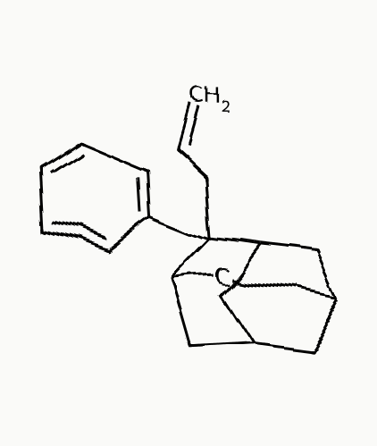 C=CCC1(c2ccccc2)C2CC3CC(C2)CC1C3